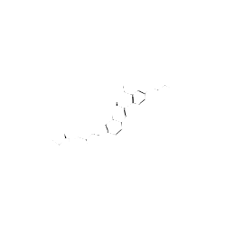 CCC(=O)OCC(O)COC1=CC2OC(=O)C(c3ccc(OCCO)cc3CC)=CC2C=C1